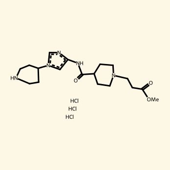 COC(=O)CCN1CCC(C(=O)Nc2cn(C3CCNCC3)cn2)CC1.Cl.Cl.Cl